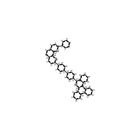 c1ccc(-c2ccc3ccc4ccc(-c5ccc(-c6ccc(-c7nc8c9ccccc9c9ccccc9c8c8ccccc78)cc6)cc5)nc4c3n2)cc1